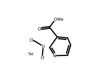 COC(=O)c1cccnc1.ClOCl.[Se]